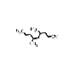 CCC[C](C)C[C](C)CCC